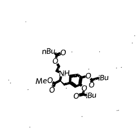 CCCCC(=O)OCCN[C@@H](Cc1ccc(OC(=O)C(C)CC)c(OC(=O)C(C)CC)c1)C(=O)OC